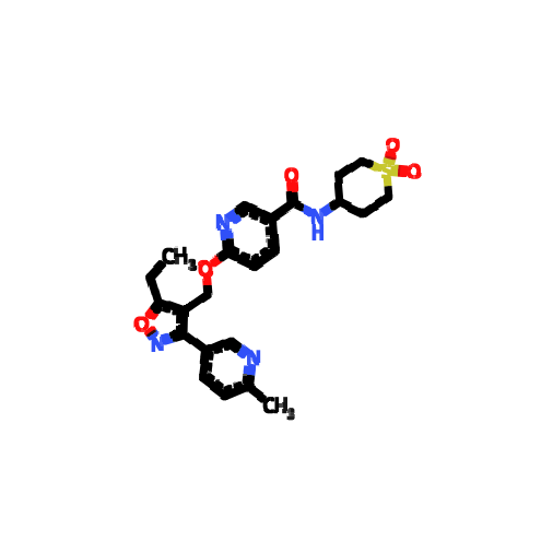 CCc1onc(-c2ccc(C)nc2)c1COc1ccc(C(=O)NC2CCS(=O)(=O)CC2)cn1